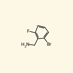 NCc1c(F)[c]ccc1Br